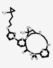 CC1(C)CC2CN1c1nc(-n3ccc(OCCCC4(C(F)(F)F)CC4)n3)ccc1C(=O)NS(=O)(=O)c1cccc(n1)NCCN2